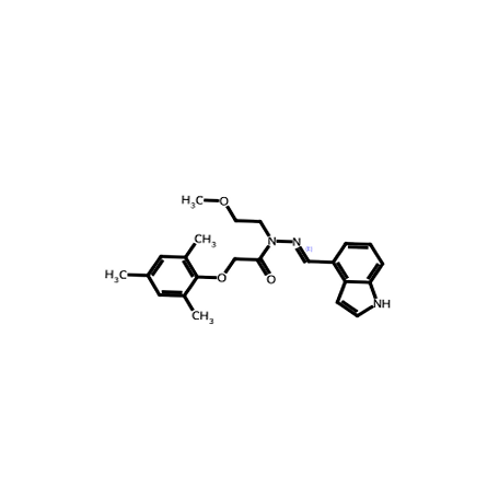 COCCN(/N=C/c1cccc2[nH]ccc12)C(=O)COc1c(C)cc(C)cc1C